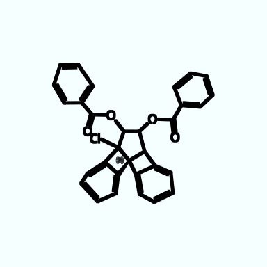 O=C(OC1C(OC(=O)c2ccccc2)C2(Cl)c3ccccc3[C@@]23c2ccccc2C13)c1ccccc1